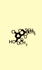 COc1c(C(=O)O)cc(Cl)c2c1C(=O)C(SC)(SC)CO2